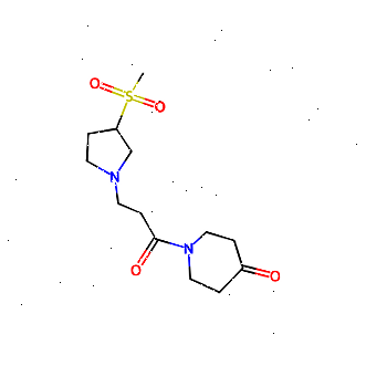 CS(=O)(=O)C1CCN(CCC(=O)N2CCC(=O)CC2)C1